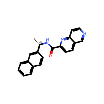 C[C@H](NC(=O)c1ccc2cnccc2n1)c1ccc2ccccc2c1